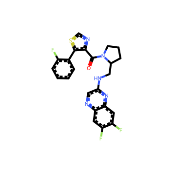 O=C(c1ncsc1-c1ccccc1F)N1CCCC1CNc1cnc2cc(F)c(F)cc2n1